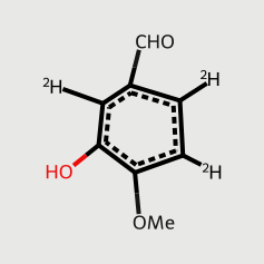 [2H]c1c([2H])c(OC)c(O)c([2H])c1C=O